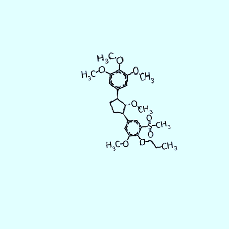 CCCOc1c(OC)cc([C@H]2CC[C@@H](c3cc(OC)c(OC)c(OC)c3)[C@@H]2OC)cc1S(C)(=O)=O